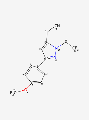 N#CCc1cc(-c2ccc(OC(F)(F)F)cc2)nn1CC(F)(F)F